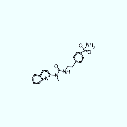 CN(C(=O)NCCc1ccc(S(N)(=O)=O)cc1)c1ccc2ccccc2n1